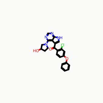 O=C(c1ccc(Oc2ccccc2)cc1Cl)c1c[nH]c2ncnc(N3CCC(O)C3)c12